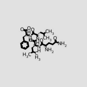 CC(C)C[C@H](NC(=O)[C@H](CC(C)C)NC(=O)[C@@H](N)CCC(N)=O)C(=O)N[C@@H](Cc1ccccc1)C(=O)O